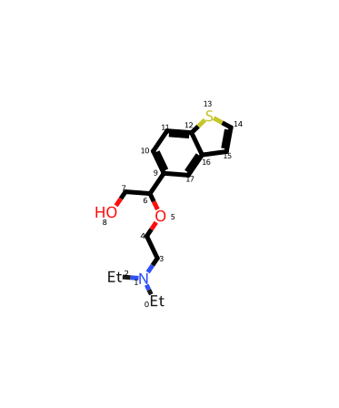 CCN(CC)CCOC(CO)c1ccc2sccc2c1